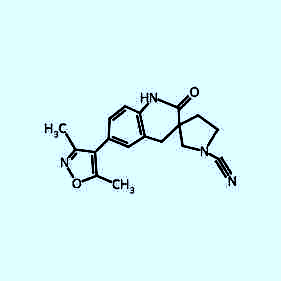 Cc1noc(C)c1-c1ccc2c(c1)CC1(CCN(C#N)C1)C(=O)N2